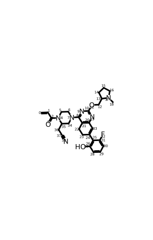 C=CC(=O)N1CCN(c2nc(OCC3CCCN3C)nc3c2CCC(c2c(O)cccc2F)=C3)CC1CC#N